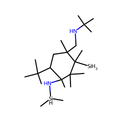 C[SiH](C)NC1(C)C(C(C)(C)C)CC(C)(CNC(C)(C)C)C(C)([SiH3])C1(C)C